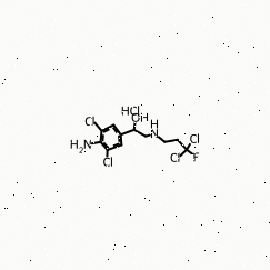 Cl.Nc1c(Cl)cc(C(O)CNCCC(F)(Cl)Cl)cc1Cl